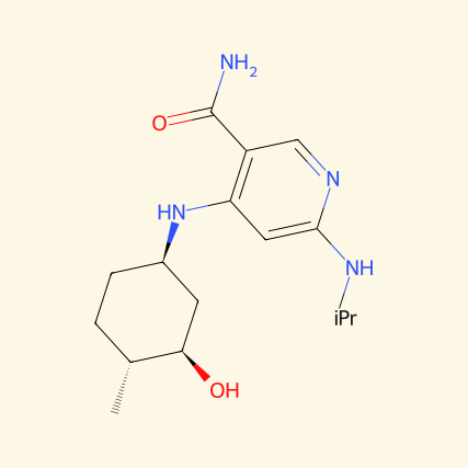 CC(C)Nc1cc(N[C@@H]2CC[C@@H](C)[C@H](O)C2)c(C(N)=O)cn1